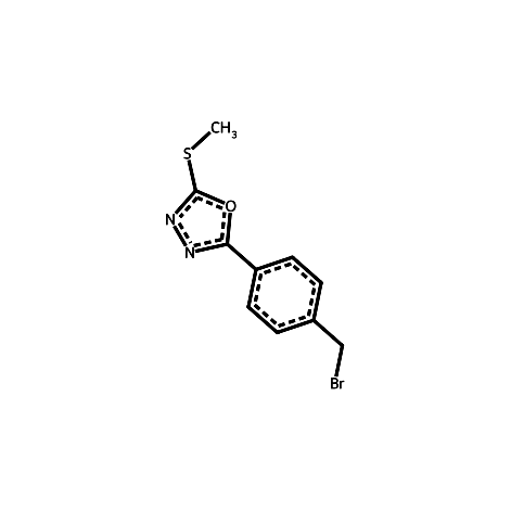 CSc1nnc(-c2ccc(CBr)cc2)o1